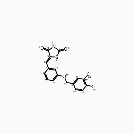 O=C1NC(=O)C(=Cc2cccc(OCc3ccc(Cl)c(Cl)c3)c2)S1